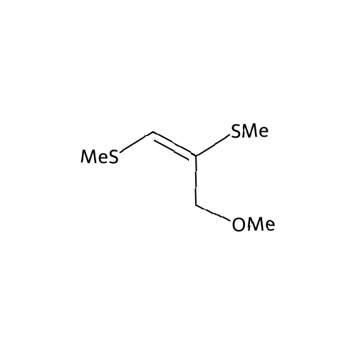 COC/C(=C\SC)SC